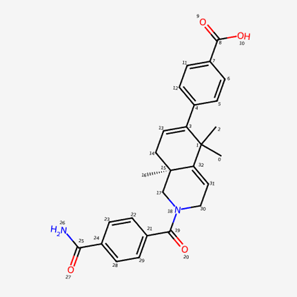 CC1(C)C(c2ccc(C(=O)O)cc2)=CC[C@]2(C)CN(C(=O)c3ccc(C(N)=O)cc3)CC=C12